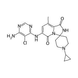 Cc1cc(Nc2ncnc(N)c2Cl)c(=O)n2c1C(=O)NC21CCN(C2CC2)CC1